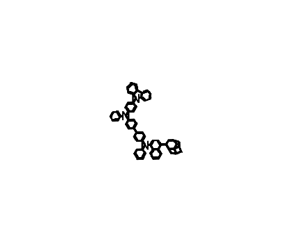 c1ccc(N(c2ccc(-c3ccc(N(c4ccccc4)c4ccc(C56CC7CC8CC(C5)C8(C7)C6)c5ccccc45)cc3)cc2)c2ccc(-n3c4ccccc4c4ccccc43)cc2)cc1